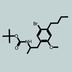 CCCCc1cc(OC)c(CC(C)NC(=O)OC(C)(C)C)cc1Br